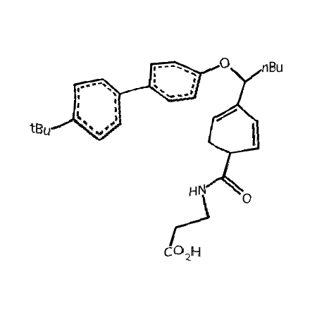 CCCCC(Oc1ccc(-c2ccc(C(C)(C)C)cc2)cc1)C1=CCC(C(=O)NCCC(=O)O)C=C1